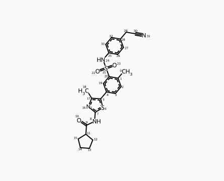 Cc1ccc(-c2sc(NC(=O)C3CCCC3)nc2C)cc1S(=O)(=O)Nc1ccc(CC#N)cc1